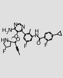 CC#CC(=O)[C@@]1(COc2c(N)ncnc2-c2cc(F)cc(NC(=O)c3ccc(C4CC4)cc3F)c2C)C[C@@H](F)CN1